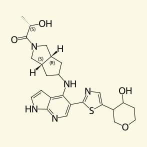 C[C@H](O)C(=O)N1C[C@H]2CC(Nc3c(-c4ncc(C5COCCC5O)s4)cnc4[nH]ccc34)C[C@H]2C1